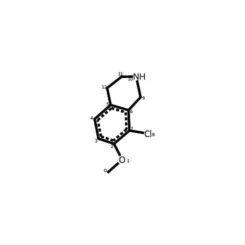 COc1ccc2c(c1Cl)CNCC2